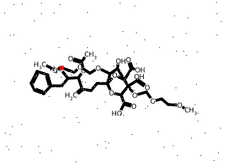 C=C(CCC12OC(C(=O)O)C(OCOCCOC)(C(=O)O)C(C(=O)O)(O1)C(O)C2OCOCCOC)C(OC(C)=O)C(C)Cc1ccccc1